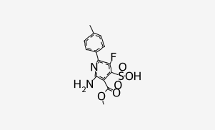 COC(=O)c1c(N)nc(-c2ccc(C)cc2)c(F)c1S(=O)(=O)O